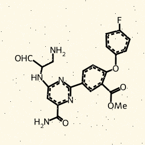 COC(=O)c1cc(-c2nc(NC(C=O)CN)cc(C(N)=O)n2)ccc1Oc1ccc(F)cc1